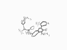 Cc1ccncc1-c1cc2cc(NC(=O)C3C(C)C3c3cnn(C)c3)ncc2c(N)c1F